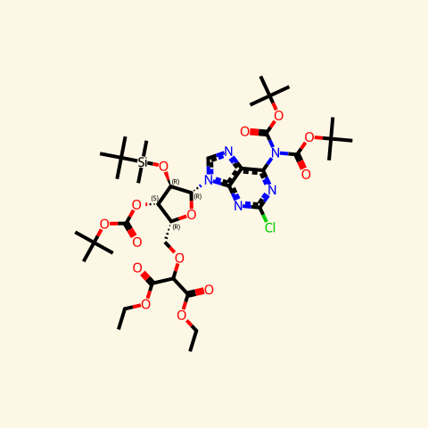 CCOC(=O)C(OC[C@H]1O[C@@H](n2cnc3c(N(C(=O)OC(C)(C)C)C(=O)OC(C)(C)C)nc(Cl)nc32)[C@H](O[Si](C)(C)C(C)(C)C)[C@H]1OC(=O)OC(C)(C)C)C(=O)OCC